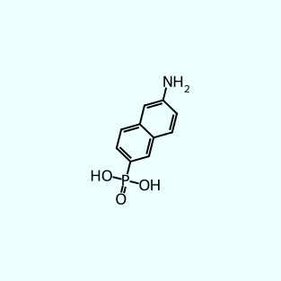 Nc1ccc2cc(P(=O)(O)O)ccc2c1